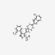 Fc1cccc2sc(N3CCC4(C=C(c5c(C(F)F)cnn5-c5ccccc5C(F)(F)F)C4)CC3)nc12